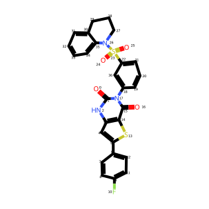 O=c1[nH]c2cc(-c3ccc(F)cc3)sc2c(=O)n1-c1cccc(S(=O)(=O)N2CCCc3ccccc32)c1